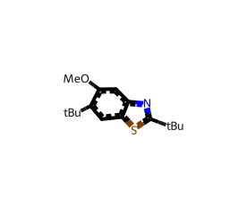 COc1cc2nc(C(C)(C)C)sc2cc1C(C)(C)C